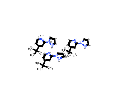 CC(C)(C)c1ccnc(-n2cccn2)c1.CC(C)(C)c1ccnc(-n2cccn2)c1.CC(C)(C)c1ccnc(-n2cccn2)c1.[Co+3]